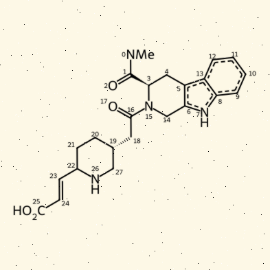 CNC(=O)[C@H]1Cc2c([nH]c3ccccc23)CN1C(=O)C[C@H]1CCC(/C=C/C(=O)O)NC1